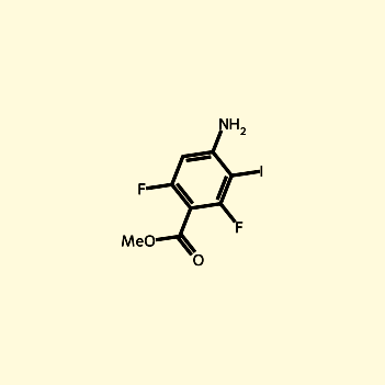 COC(=O)c1c(F)cc(N)c(I)c1F